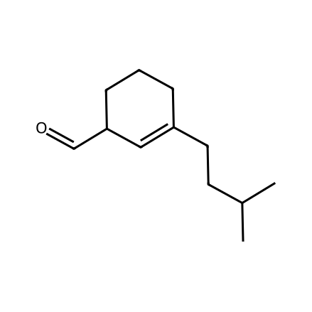 CC(C)CCC1=CC(C=O)CCC1